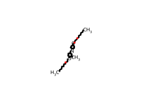 CCCCCCCCCCCOc1ccc(N=Cc2ccc(OCCCCCCCCCCC)c(C)c2)cc1